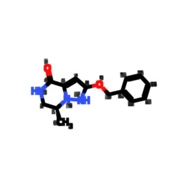 C[C@H]1CNC(=O)C2=CC(OCc3ccccc3)NN21